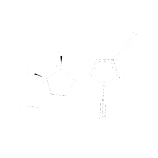 C#Cc1nc(C#N)cn1[C@@H]1O[C@H](CO)[C@@H](O)[C@H]1O